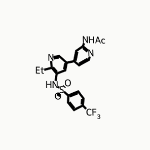 CCc1ncc(-c2ccnc(NC(C)=O)c2)cc1NS(=O)(=O)c1ccc(C(F)(F)F)cc1